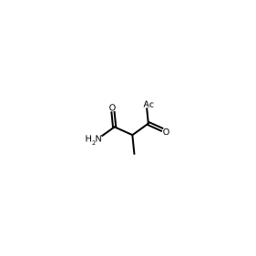 CC(=O)C(=O)C(C)C(N)=O